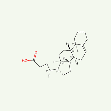 C[C@H](CCC(=O)O)[C@H]1CC[C@H]2[C@@H]3CC=C4CCCC[C@]4(C)[C@H]3CC[C@]12C